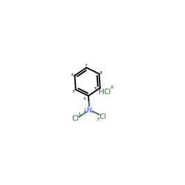 Cl.ClN(Cl)c1ccccc1